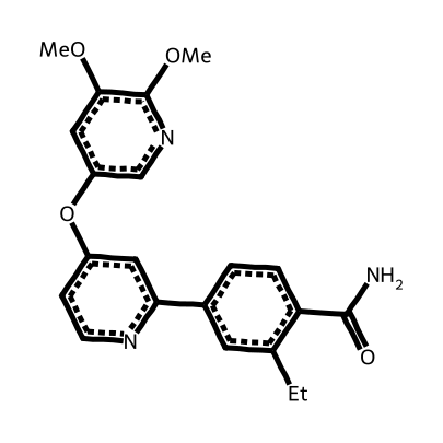 CCc1cc(-c2cc(Oc3cnc(OC)c(OC)c3)ccn2)ccc1C(N)=O